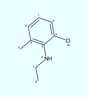 CCNc1c(C)cccc1Cl